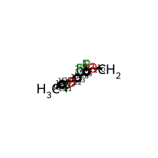 C=CCOc1ccc(C2CCC(OCc3ccc(C)cc3F)CC2)c(F)c1F